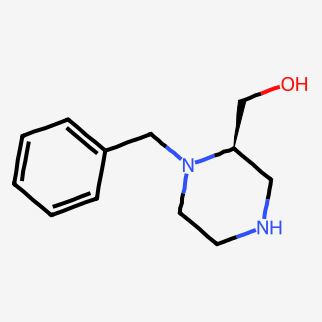 OC[C@H]1CNCCN1Cc1ccccc1